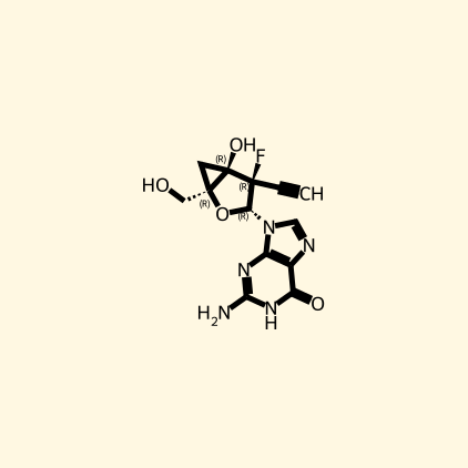 C#C[C@]1(F)[C@H](n2cnc3c(=O)[nH]c(N)nc32)O[C@@]2(CO)C[C@@]21O